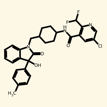 Cc1ccc(C2(O)C(=O)N(CC3CCC(NC(=O)c4cc(Cl)cnc4C(F)F)CC3)c3ccccc32)cc1